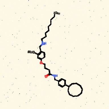 CCCCCCCCCCCCCCCCCCNCc1ccc(OCCCC(=O)NCc2ccc(C3CCCCCCCCC3)cc2)cc1OC